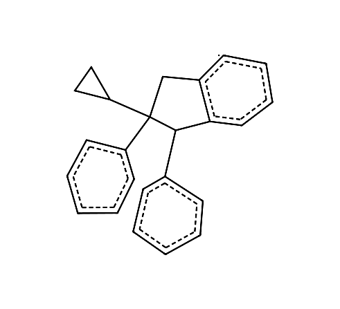 [c]1cccc2c1CC(c1ccccc1)(C1CC1)C2c1ccccc1